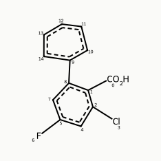 O=C(O)c1c(Cl)cc(F)cc1-c1ccccc1